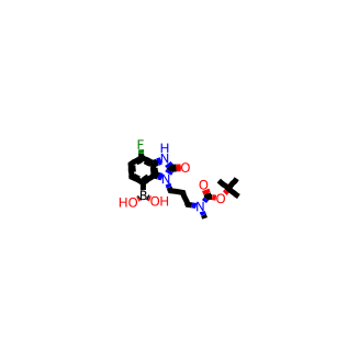 CN(CCCn1c(=O)[nH]c2c(F)ccc(B(O)O)c21)C(=O)OC(C)(C)C